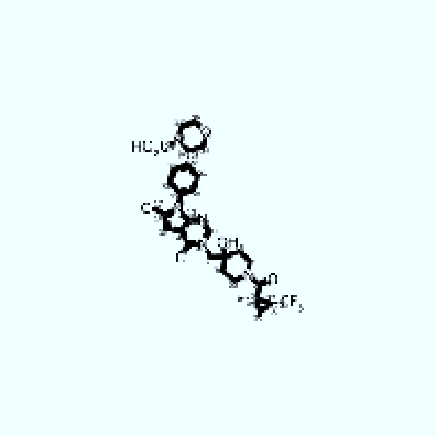 C[C@@]1(C(=O)N2CCC(O)(Cn3cnc4c(cc(Cl)n4-c4ccc([C@H]5COCCN5C(=O)O)cc4)c3=O)CC2)C[C@H]1C(F)(F)F